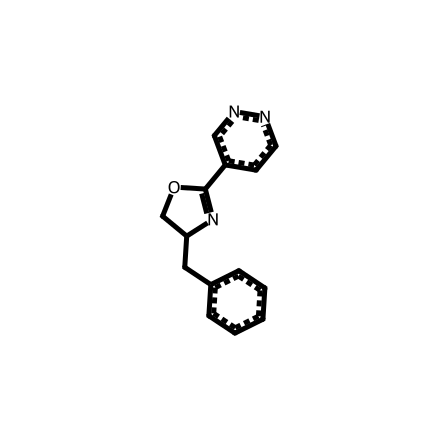 c1ccc(CC2COC(c3ccnnc3)=N2)cc1